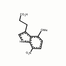 COc1ccc([N+](=O)[O-])c2[nH]cc(CCC(=O)O)c12